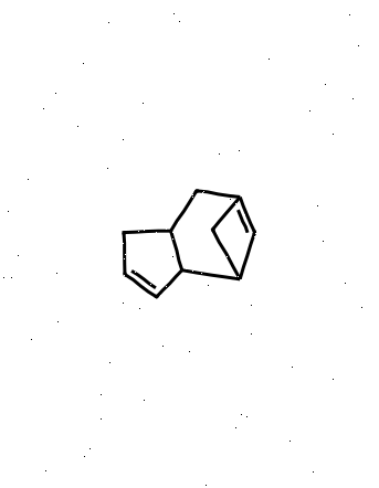 C1=CC2C3C=C(C3)CC2C1